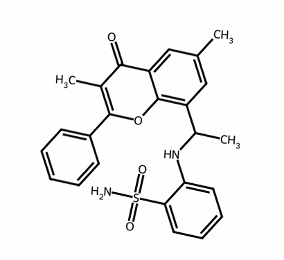 Cc1cc(C(C)Nc2ccccc2S(N)(=O)=O)c2oc(-c3ccccc3)c(C)c(=O)c2c1